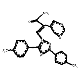 NC(=O)C(=Cn1nc(-c2ccc(C(F)(F)F)cc2)nc1-c1ccc(C(F)(F)F)cc1)c1cncnc1